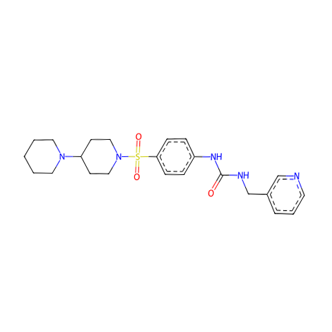 O=C(NCc1cccnc1)Nc1ccc(S(=O)(=O)N2CCC(N3CCCCC3)CC2)cc1